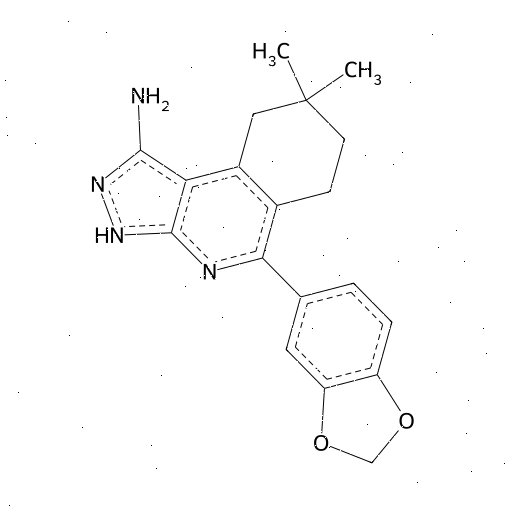 CC1(C)CCc2c(-c3ccc4c(c3)OCO4)nc3[nH]nc(N)c3c2C1